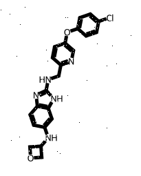 Clc1ccc(Oc2ccc(CNc3nc4ccc(NC5COC5)cc4[nH]3)nc2)cc1